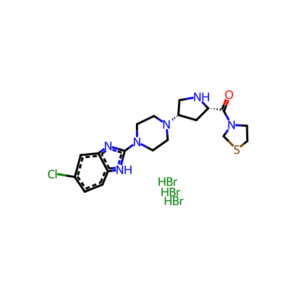 Br.Br.Br.O=C([C@@H]1C[C@H](N2CCN(c3nc4cc(Cl)ccc4[nH]3)CC2)CN1)N1CCSC1